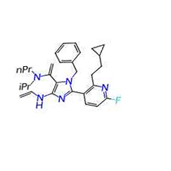 C=CNc1nc(-c2ccc(F)nc2CCC2CC2)n(Cc2ccccc2)c1C(=C)N(CCC)C(C)C